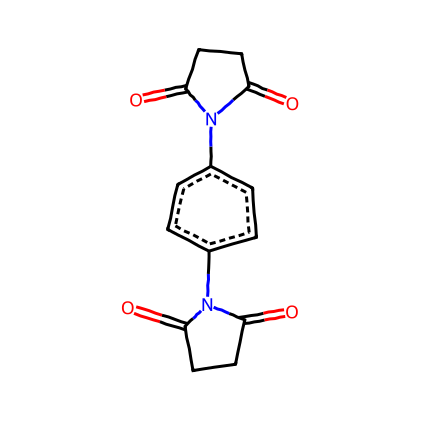 O=C1CCC(=O)N1c1ccc(N2C(=O)CCC2=O)cc1